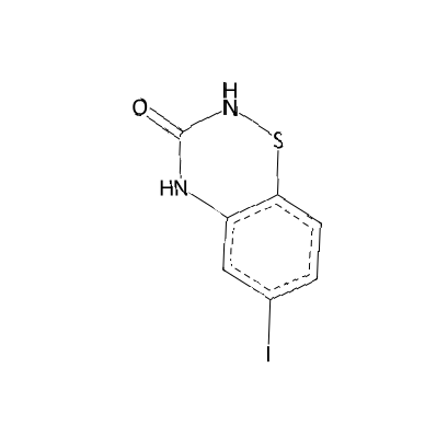 O=C1NSc2ccc(I)cc2N1